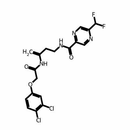 C=C(CCNC(=O)c1cnc(C(F)F)cn1)NC(=O)COc1ccc(Cl)c(Cl)c1